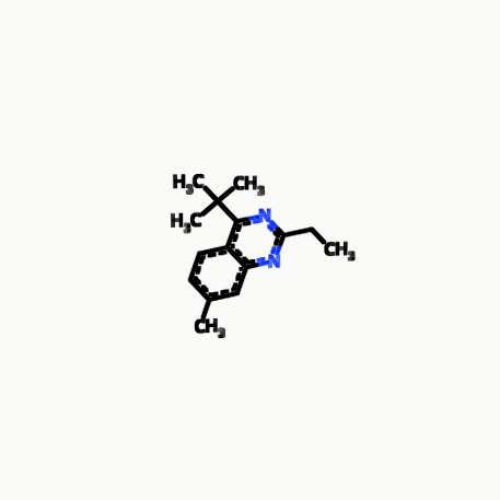 CCc1nc(C(C)(C)C)c2ccc(C)cc2n1